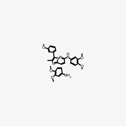 COc1ccc(N)cc1OC.COc1cccc(-c2c(C)nc3ccc(Nc4ccc(OC)c(OC)c4)nn23)c1